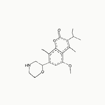 COc1cc(C2CNCCO2)c(C)c2oc(=O)c(C(C)C)c(C)c12